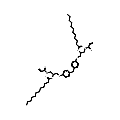 C=CC(=O)OCC(COc1ccc(Cc2ccc(OCC(COC(=O)C=C)OC(=O)CCCCCCCCCCC)cc2)cc1)OC(=O)CCCCCCCCCCC